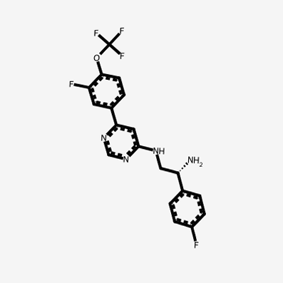 N[C@@H](CNc1cc(-c2ccc(OC(F)(F)F)c(F)c2)ncn1)c1ccc(F)cc1